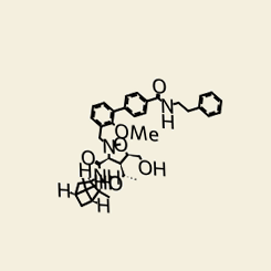 COc1c(CN2O[C@@H](CO)[C@@H]([C@H](C)O)[C@H]2C(=O)N[C@@H]2C[C@H]3C[C@@H]([C@@H]2C)C3(C)C)cccc1-c1ccc(C(=O)NCCc2ccccc2)cc1